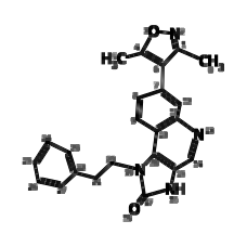 Cc1noc(C)c1-c1ccc2c(c1)ncc1[nH]c(=O)n(CCc3ccccc3)c12